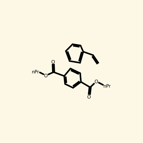 C=Cc1ccccc1.CCCOC(=O)c1ccc(C(=O)OCCC)cc1